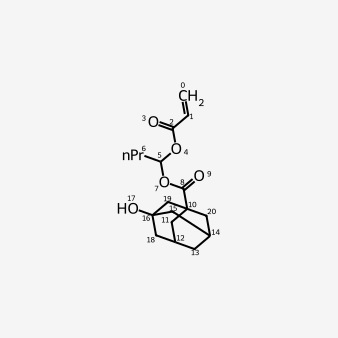 C=CC(=O)OC(CCC)OC(=O)C12CC3CC(CC(O)(C3)C1)C2